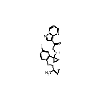 NC1(COc2ccc(F)cc2C2(NOC(=O)c3cnn4cccnc34)CC2)CC1